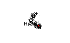 CCOc1ccc(-c2cccc(C(C)(C)NC(=O)OC3CN4CCC3CC4)c2)nn1